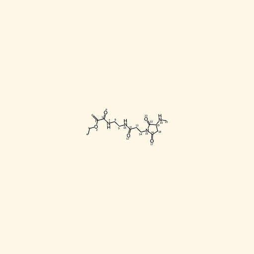 C=C(OCC)C(=O)NCCNC(=O)CCN1C(=O)CC(NC)C1=O